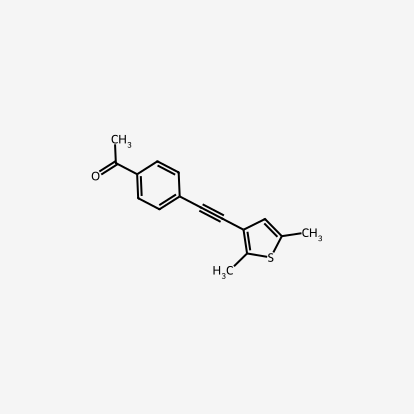 CC(=O)c1ccc(C#Cc2cc(C)sc2C)cc1